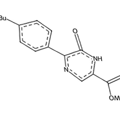 COC(=O)c1cnc(-c2ccc(C(C)(C)C)cc2)c(=O)[nH]1